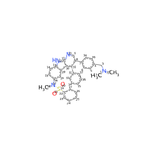 CN(C)Cc1ccc(-c2cnc3[nH]c4ccc(N(C)S(=O)(=O)c5ccccc5)cc4c3c2-c2ccccc2)cc1